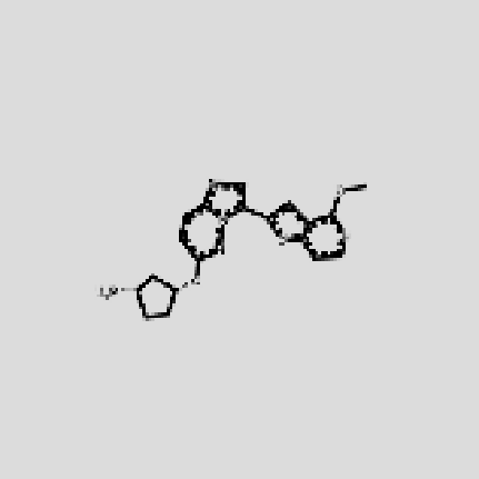 COc1nccc2oc(-c3cnc4ccc(O[C@@H]5CC[C@H](N)C5)nn34)cc12